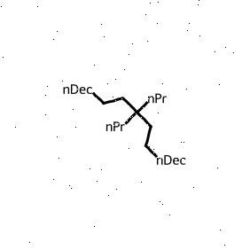 CCCCCCCCCCCCC(CCC)(CCC)CCCCCCCCCCCC